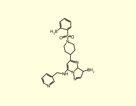 Bc1ccccc1S(=O)(=O)N1CCC(C2=NC3C(B)C=NN3C(NCc3cccnc3)=C2)CC1